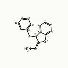 NN=c1sc2ccccc2n1Cc1ccccc1